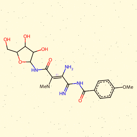 CN/C(C(=O)NC1OC(CO)C(O)C1O)=C(/N)C(=N)NC(=O)c1ccc(OC)cc1